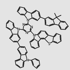 CC1(C)c2ccccc2-c2ccc(-c3ccc4c5ccccc5n(-c5nc(-n6c7ccccc7c7ccc(-c8ccc9c(c8)c8ccccc8n9-c8ccccc8)cc76)nc(-n6c7ccccc7c7c8sc9ccccc9c8ccc76)n5)c4c3)cc21